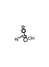 CN(C)CCCn1c(-c2ccc(Br)cc2)cc2c1CCCC2.Cl